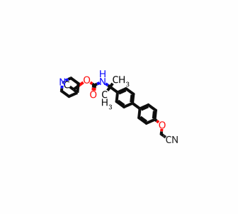 CC(C)(NC(=O)OC1CN2CCC1CC2)c1ccc(-c2ccc(OCC#N)cc2)cc1